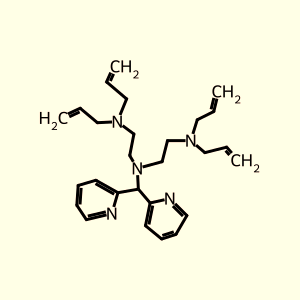 C=CCN(CC=C)CCN(CCN(CC=C)CC=C)C(c1ccccn1)c1ccccn1